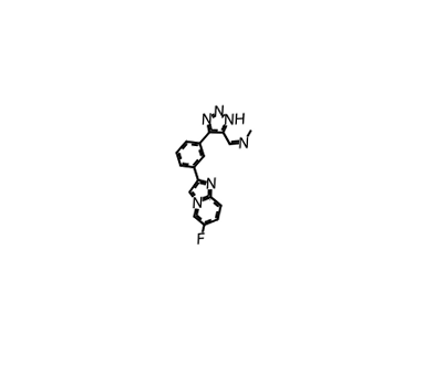 C/N=C\c1[nH]nnc1-c1cccc(-c2cn3cc(F)ccc3n2)c1